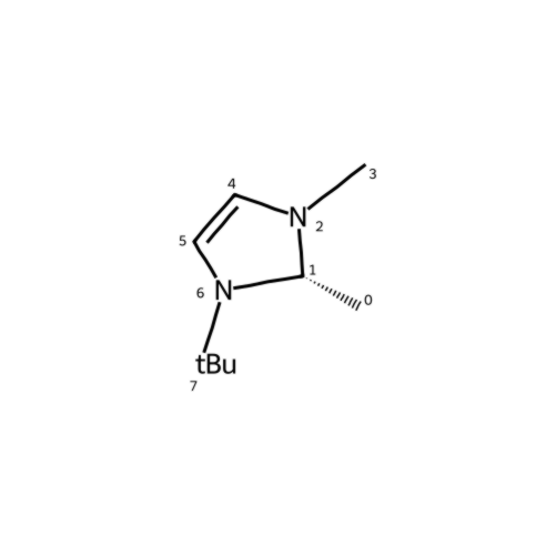 C[C@H]1N(C)C=CN1C(C)(C)C